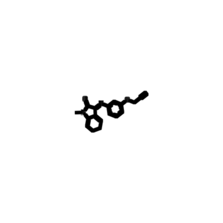 C#CCOc1cccc(/N=C2/C(=O)N(C)C3=CCCC=C32)c1